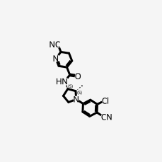 C[C@H]1[C@@H](NC(=O)C2=CCC(C#N)N=C2)CCN1c1ccc(C#N)c(Cl)c1